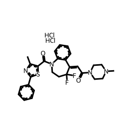 Cc1nc(-c2ccccc2)sc1C(=O)N1CCC(F)(F)C(=CC(=O)N2CCN(C)CC2)c2ccccc21.Cl.Cl